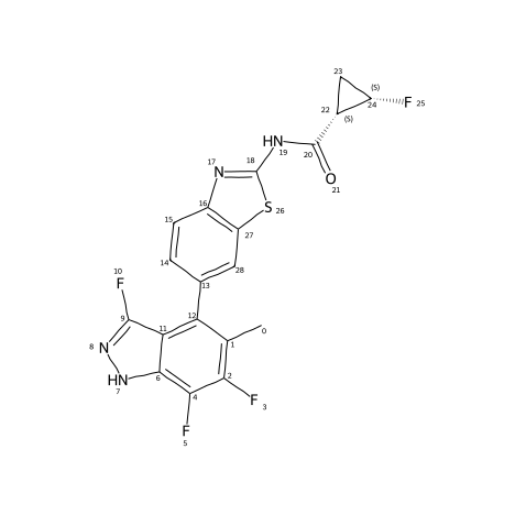 Cc1c(F)c(F)c2[nH]nc(F)c2c1-c1ccc2nc(NC(=O)[C@@H]3C[C@@H]3F)sc2c1